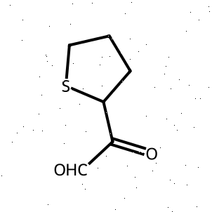 O=CC(=O)C1CCCS1